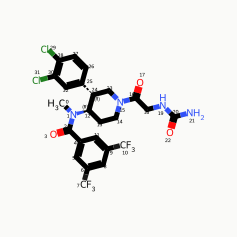 CN(C(=O)c1cc(C(F)(F)F)cc(C(F)(F)F)c1)[C@@H]1CCN(C(=O)CNC(N)=O)C[C@H]1c1ccc(Cl)c(Cl)c1